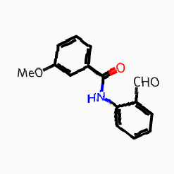 COc1cccc(C(=O)Nc2ccccc2C=O)c1